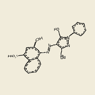 CC(C)(C)c1nn(-c2ccccc2)c(O)c1N=Nc1c(O)cc(S(=O)(=O)O)c2ccccc12